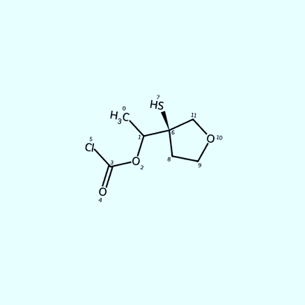 CC(OC(=O)Cl)[C@@]1(S)CCOC1